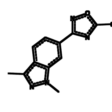 Cc1nn(C)c2cc(-c3noc(Cl)n3)ccc12